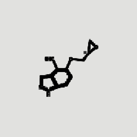 O=Cc1c(OC[C@H]2CO2)ccc2[nH]ncc12